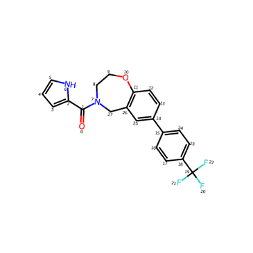 O=C(c1ccc[nH]1)N1CCOc2ccc(-c3ccc(C(F)(F)F)cc3)cc2C1